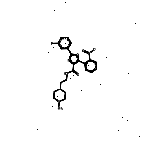 CN1CCN(CCNC(=O)c2nc(-c3cccc(F)c3)oc2-c2ccccc2[N+](=O)[O-])CC1